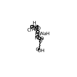 COc1cc2c(Oc3ccc(NC(=O)C4(C(=O)Nc5cccc(Cl)c5)CC4)cc3F)ccnc2cc1OCCCCCCC(=O)O.[NaH]